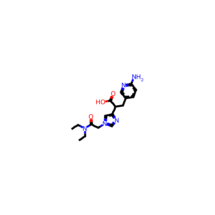 CCN(CC)C(=O)Cn1cnc(C(Cc2ccc(N)nc2)C(=O)O)c1